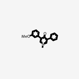 COc1cccc(-c2cn(C)cc(-c3ccccc3)c2=O)c1